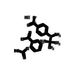 CC(C)(C)N(N)c1ccc([N+](=O)[O-])cc1.Cl.O=C(Cl)c1ccccc1.O=C(O)Cl